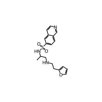 CC(CNCCc1ccco1)NS(=O)(=O)c1ccc2cnccc2c1